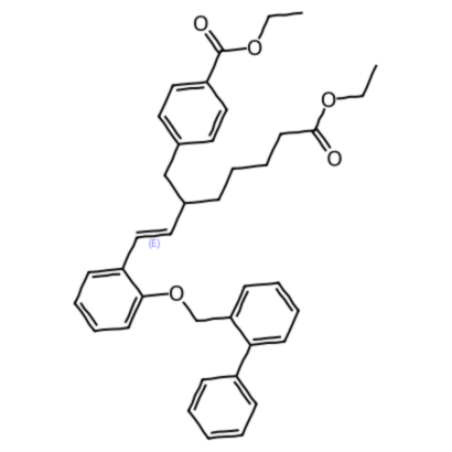 CCOC(=O)CCCCC(/C=C/c1ccccc1OCc1ccccc1-c1ccccc1)Cc1ccc(C(=O)OCC)cc1